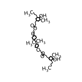 CCCCc1cc(CCC(=O)OCCOc2ccc(C(C)(C)c3ccc(OCCOC(=O)CCc4cc(C)c(O)c(CCCC)c4)cc3)cc2)cc(C)c1O